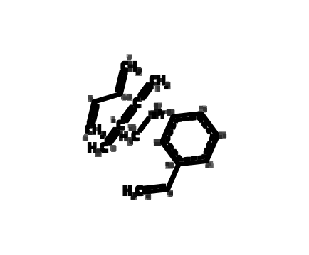 C=C=C=C.C=CC=C.C=Cc1ccccc1.CCCC